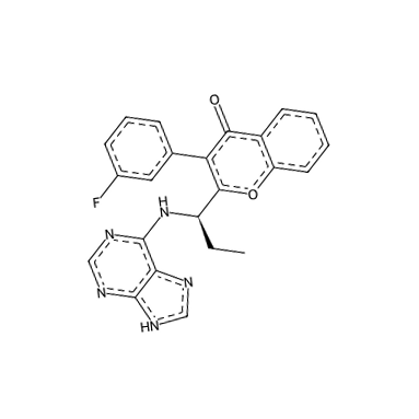 CC[C@@H](Nc1ncnc2[nH]cnc12)c1oc2ccccc2c(=O)c1-c1cccc(F)c1